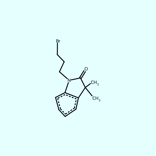 CC1(C)C(=O)N(CCCBr)c2ccccc21